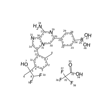 Cc1ccc(C(C)(O)C(F)F)cc1-c1cnc2c(N)nc(-c3ccc(B(O)O)cc3)cn12.O=C(O)C(F)(F)F